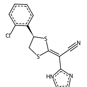 N#C/C(=C1/SC[C@@H](c2ccccc2Cl)S1)c1ncc[nH]1